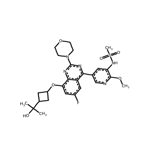 COc1ncc(-c2nc(N3CCOCC3)nc3c(OC4CC(C(C)(C)O)C4)cc(F)cc23)cc1NS(C)(=O)=O